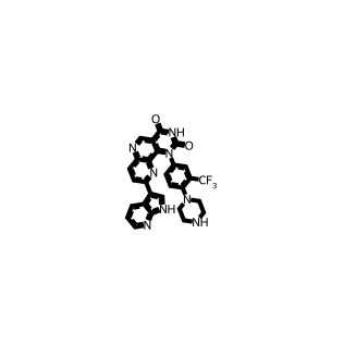 O=c1[nH]c(=O)n(-c2ccc(N3CCNCC3)c(C(F)(F)F)c2)c2c1cnc1ccc(-c3c[nH]c4ncccc34)nc12